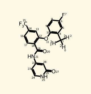 [2H]C([2H])([2H])c1cc(F)ccc1Oc1cc(C(F)(F)F)ccc1C(=O)Nc1cc[nH]c(=O)c1